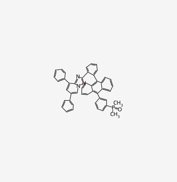 CP(C)(=O)c1cccc(-c2c3ccccc3c(-c3ccccc3-c3nc4c(-c5ccccc5)cc(-c5ccccc5)cn4n3)c3ccccc23)c1